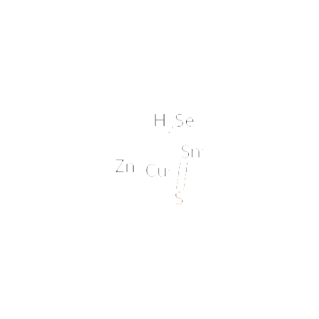 [Cu].[S]=[Sn].[SeH2].[Zn]